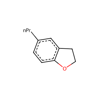 CCCc1ccc2c(c1)CCO2